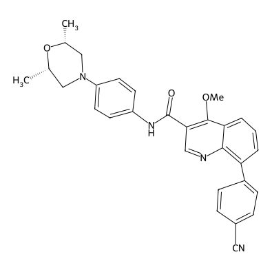 COc1c(C(=O)Nc2ccc(N3C[C@@H](C)O[C@@H](C)C3)cc2)cnc2c(-c3ccc(C#N)cc3)cccc12